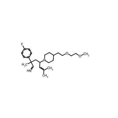 COCCOCCC1CCN(C(C=C(C)C)CC(C)(C=N)c2ccc(F)cc2)CC1